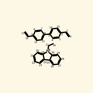 C=Cc1ccc(-c2ccc(C=C)cc2)cc1.CCn1c2ccccc2c2ccccc21